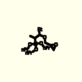 CCCO[Si](OCCC)(OCCC)C(C)C(CC)OCC1CO1